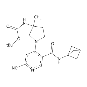 CC1(NC(=O)OC(C)(C)C)CCN(c2cc(C#N)ncc2C(=O)NC23CC(C2)C3)C1